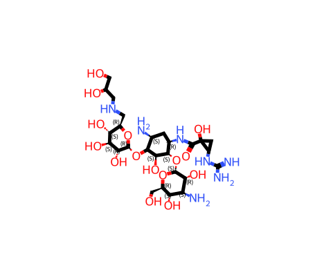 N=C(N)NC1CC1(O)C(=O)N[C@@H]1C[C@H](N)C(O[C@H]2O[C@H](CNCC(O)CO)[C@@H](O)[C@H](O)[C@H]2O)[C@H](O)[C@H]1O[C@H]1O[C@H](CO)[C@@H](O)[C@H](N)[C@H]1O